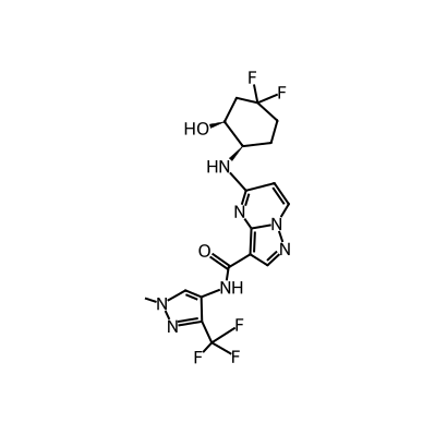 Cn1cc(NC(=O)c2cnn3ccc(N[C@@H]4CCC(F)(F)C[C@@H]4O)nc23)c(C(F)(F)F)n1